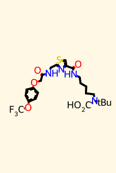 CC(C)(C)N(CCCCCNC(=O)c1csc(CNC(=O)COc2ccc(OC(F)(F)F)cc2)n1)C(=O)O